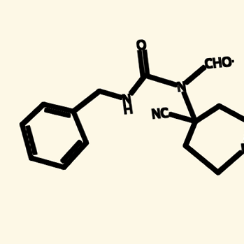 N#CC1(N([C]=O)C(=O)NCc2ccccc2)CCNCC1